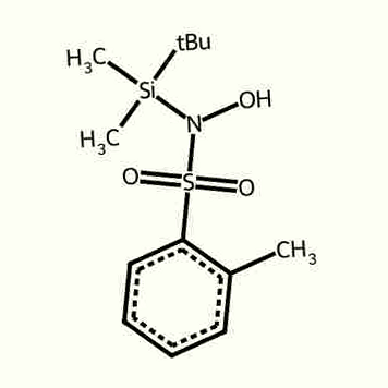 Cc1ccccc1S(=O)(=O)N(O)[Si](C)(C)C(C)(C)C